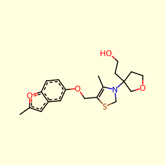 CC1=C(COc2ccc3oc(C)cc3c2)SCN1C1(CCO)CCOC1